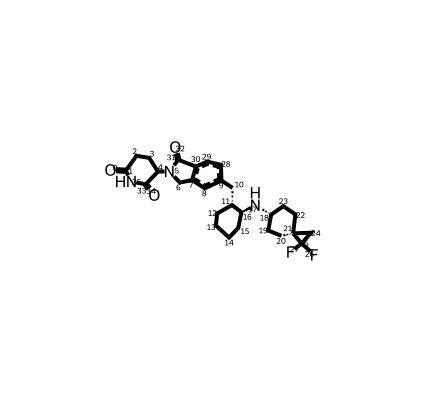 O=C1CCC(N2Cc3cc(C[C@H]4CCCC[C@@H]4N[C@H]4CC[C@]5(CC4)CC5(F)F)ccc3C2=O)C(=O)N1